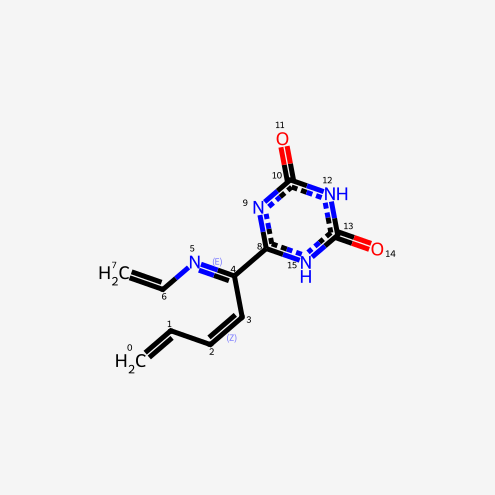 C=C/C=C\C(=N/C=C)c1nc(=O)[nH]c(=O)[nH]1